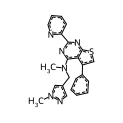 CN(Cc1cnn(C)c1)c1nc(-c2ccccn2)nc2scc(-c3ccccc3)c12